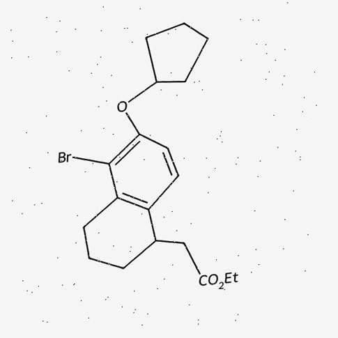 CCOC(=O)CC1CCCc2c1ccc(OC1CCCC1)c2Br